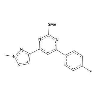 CSc1nc(-c2ccc(F)cc2)cc(-c2ccn(C)n2)n1